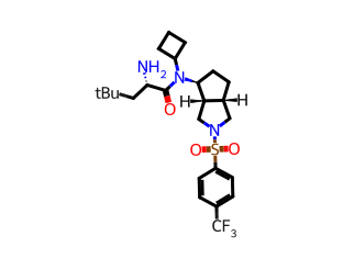 CC(C)(C)C[C@H](N)C(=O)N(C1CCC1)[C@H]1CC[C@@H]2CN(S(=O)(=O)c3ccc(C(F)(F)F)cc3)C[C@@H]21